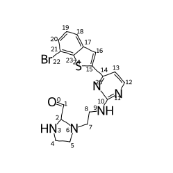 O=CC1NCCN1CCNc1nccc(-c2cc3cccc(Br)c3s2)n1